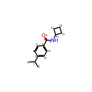 CC(C)c1ccc(C(=O)NC2CCC2)cc1